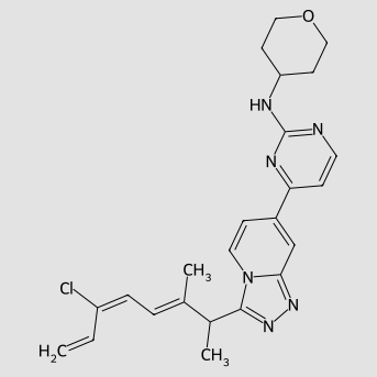 C=C/C(Cl)=C\C=C(/C)C(C)c1nnc2cc(-c3ccnc(NC4CCOCC4)n3)ccn12